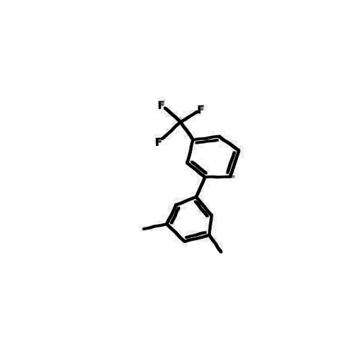 Cc1cc(C)cc(-c2[c]ccc(C(F)(F)F)c2)c1